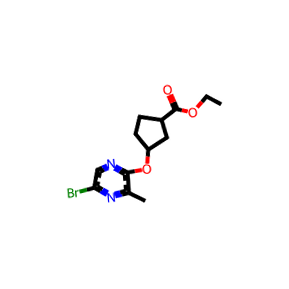 CCOC(=O)C1CCC(Oc2ncc(Br)nc2C)C1